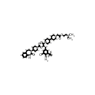 CN(C)CCOC(=O)CN1CCC(C2CCN(C(=O)[C@@H](Cc3cc(Cl)c(N)c(C(F)(F)F)c3)OC(=O)N3CCC(N4CCc5ccccc5NC4=O)CC3)CC2)CC1